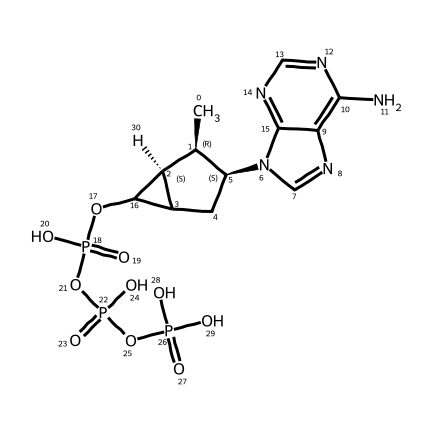 C[C@@H]1[C@H]2C(C[C@@H]1n1cnc3c(N)ncnc31)C2OP(=O)(O)OP(=O)(O)OP(=O)(O)O